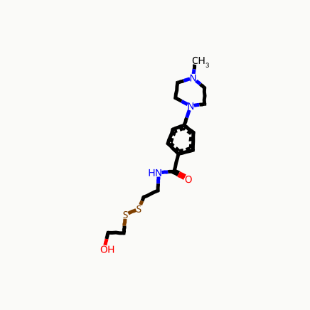 CN1CCN(c2ccc(C(=O)NCCSSCCO)cc2)CC1